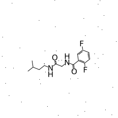 CC(C)C[CH]NC(=O)CNC(=O)c1cc(F)ccc1F